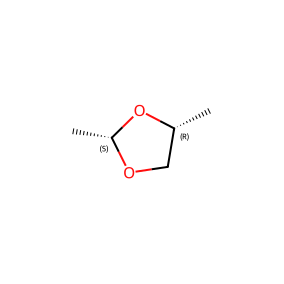 C[C@H]1OC[C@@H](C)O1